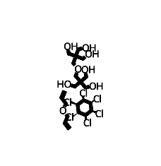 C=CCOCC=C.Cl[C@H]1[C@H](Cl)[C@@H](Cl)[C@@H](Cl)[C@H](Cl)[C@H]1Cl.OCC(CO)(CO)COCC(CO)(CO)CO